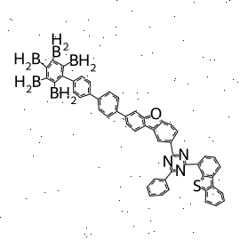 Bc1c(B)c(B)c(-c2ccc(-c3ccc(-c4ccc5c(c4)oc4ccc(-c6nc(-c7ccccc7)nc(-c7cccc8c7sc7ccccc78)n6)cc45)cc3)cc2)c(B)c1B